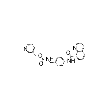 O=C(NCc1ccc(NC(=O)c2cccc3cccnc23)cc1)OCc1cccnc1